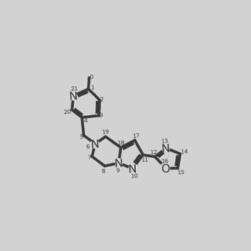 Cc1ccc(CN2CCn3nc(-c4ncco4)cc3C2)cn1